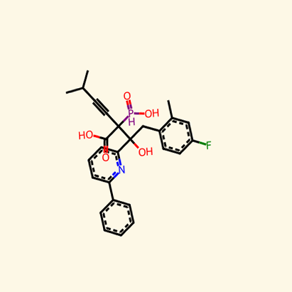 Cc1cc(F)ccc1CC(O)(c1cccc(-c2ccccc2)n1)C(C#CC(C)C)(C(=O)O)[PH](=O)O